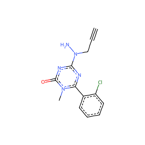 C#CCN(N)c1nc(-c2ccccc2Cl)n(C)c(=O)n1